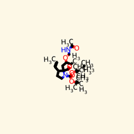 CC.CC=CC1CCN(C(=O)OC(C)(C)C)C1(CC(CC)OCNC(C)=O)C(=O)OC(C)(C)C